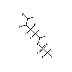 O=S(=O)(OC(F)C(F)(F)C(F)(F)C(F)C(F)F)C(F)(F)F